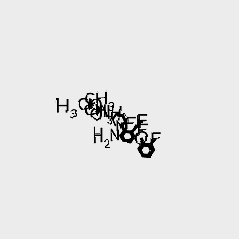 CC(C)(C)OC(=O)NC[C@@H]1CCCN(c2c(N)ccc(Oc3ccccc3F)c2C(F)(F)F)C1